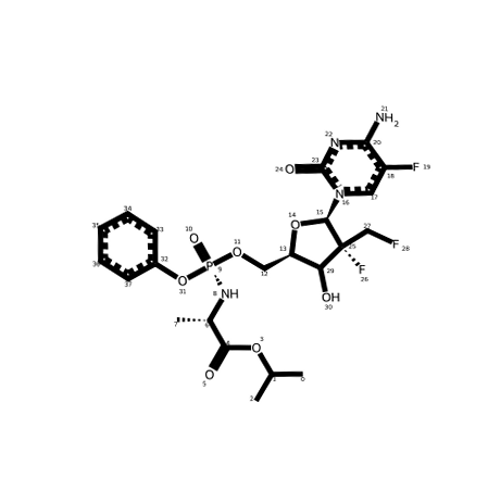 CC(C)OC(=O)[C@H](C)N[P@](=O)(OC[C@H]1O[C@@H](n2cc(F)c(N)nc2=O)[C@@](F)(CF)C1O)Oc1ccccc1